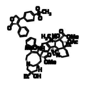 CC[C@]1(O)C[C@@H]2C[N@@](CCc3c([nH]c4ccccc34)[C@@](C(=O)OC)(c3cc4c(cc3OC)N(C)[C@H]3[C@@](O)(C(=O)OC)[C@H](OC(C)=O)[C@]5(CC)C=CCN6CC[C@]43[C@@H]65)C2)C1.CS(=O)(=O)c1ccc(C2=C(c3ccccc3)C(=O)OC2)cc1